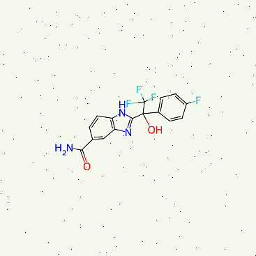 NC(=O)c1ccc2[nH]c(C(O)(c3ccc(F)cc3)C(F)(F)F)nc2c1